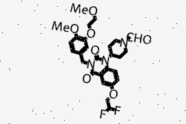 COCCOc1cc(Cn2c(=O)c3cc(OCC(F)F)ccc3n(C3CCN(C=O)CC3)c2=O)ccc1OC